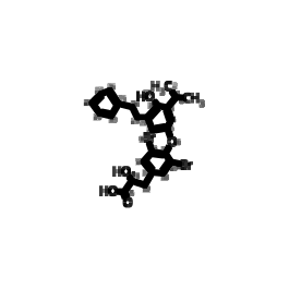 CC(C)c1cc(Oc2c(Br)cc(CC(O)C(=O)O)cc2Br)cc(CCc2ccccc2)c1O